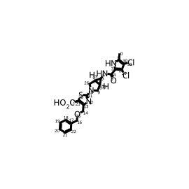 Cc1[nH]c(C(=O)NC2[C@H]3CN(c4nc(COCc5ccccc5)c(C(=O)O)s4)C[C@@H]23)c(Cl)c1Cl